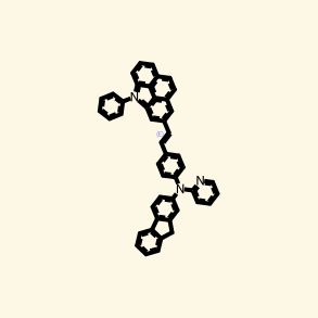 C(=C\c1cc2ccc3cccc4c3c2c(c1)n4-c1ccccc1)/c1ccc(N(c2ccc3c(c2)Cc2ccccc2-3)c2ccccn2)cc1